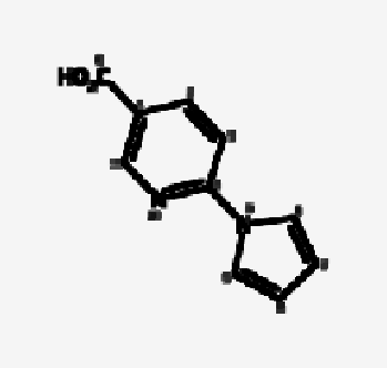 O=C(O)c1ccc(-n2cccc2)nc1